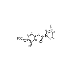 O=C(Cc1ccc(OC(F)(F)F)c(F)c1)N1CCC[C@@H](F)C1